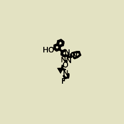 Oc1cc(-c2cnc3c(N4CC5CCC(C4)N5)nc(OCC4(CN5CC[C@@H](F)C5)CC4)nc3c2)c2ccccc2c1